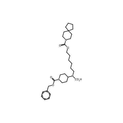 O=C(OCCCCCCN(C(=O)O)C1CCN(C(=O)OCc2ccccc2)CC1)N1CCC2(CCCC2)CC1